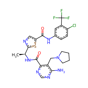 C[C@H](NC(=O)c1ncnc(N)c1CN1CCCC1)c1ncc(C(=O)Nc2ccc(Cl)c(C(F)(F)F)c2)s1